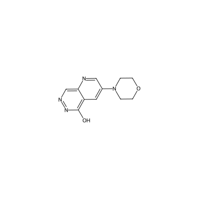 Oc1nncc2ncc(N3CCOCC3)cc12